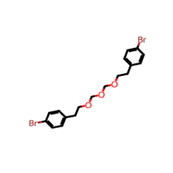 Brc1ccc(CCOCOCOCCc2ccc(Br)cc2)cc1